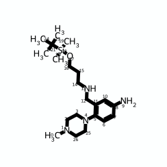 CN1CCN(c2ccc(N)cc2CNCCCO[Si](C)(C)C(C)(C)C)CC1